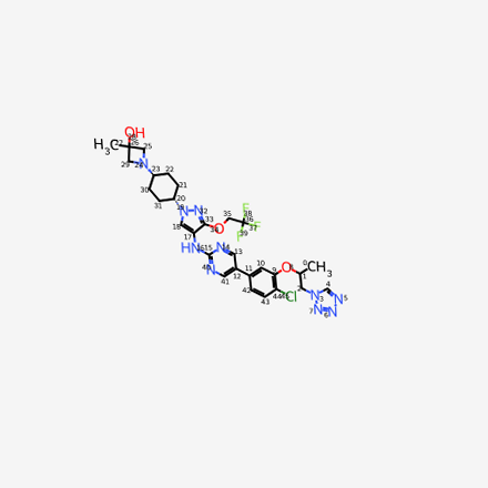 CC(Cn1cnnn1)Oc1cc(-c2cnc(Nc3cn([C@H]4CC[C@H](N5CC(C)(O)C5)CC4)nc3OCC(F)(F)F)nc2)ccc1Cl